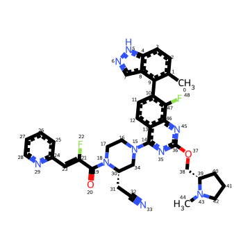 Cc1ccc2[nH]ncc2c1-c1ccc2c(N3CCN(C(=O)/C(F)=C/c4ccccn4)[C@@H](CC#N)C3)nc(OC[C@@H]3CCCN3C)nc2c1F